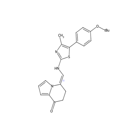 Cc1nc(N/C=C2/CCC(=O)c3cccn32)sc1-c1ccc(OC(C)(C)C)cc1